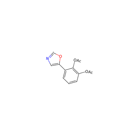 CC(=O)Oc1cccc(-c2cn[c]o2)c1OC(C)=O